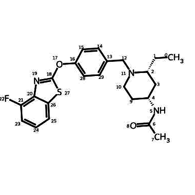 CC[C@@H]1C[C@H](NC(C)=O)CCN1Cc1ccc(Oc2nc3c(F)cccc3s2)cc1